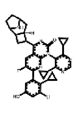 O=c1nc(C2CC3C4CCC(C[C@H]23)N4)c2cc(F)c(-c3cc(O)cc(Cl)c3C3CC3)nc2n1-c1c(C2CC2)ncnc1C1CC1